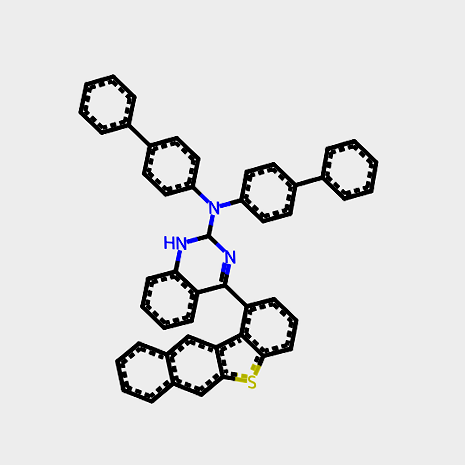 c1ccc(-c2ccc(N(c3ccc(-c4ccccc4)cc3)C3N=C(c4cccc5sc6cc7ccccc7cc6c45)c4ccccc4N3)cc2)cc1